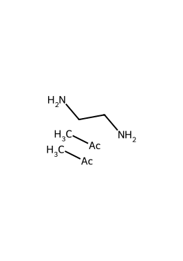 CC(C)=O.CC(C)=O.NCCN